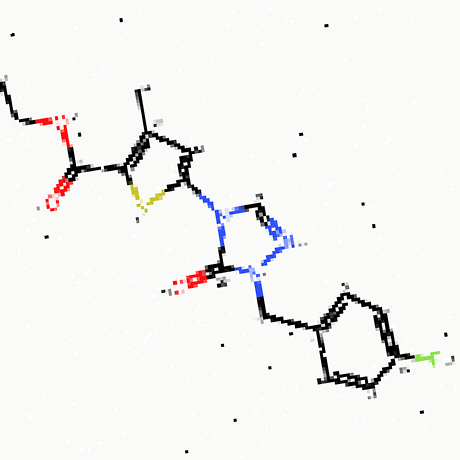 CCOC(=O)c1sc(-n2cnn(Cc3ccc(F)cc3)c2=O)cc1C